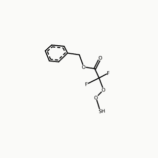 O=C(OCc1ccccc1)C(F)(F)OOS